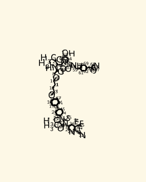 CC(C)(C)[C@H](NC(=O)COCCCCOc1ccc(-c2ccc(N3C(=S)N(c4cnc(C#N)c(C(F)(F)F)c4)C(=O)C3(C)C)cc2)cc1)C(=O)N1C[C@H](O)C[C@H]1C(=O)NCc1ccc(-c2cnco2)cc1